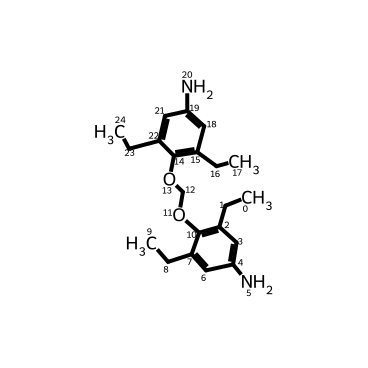 CCc1cc(N)cc(CC)c1OCOc1c(CC)cc(N)cc1CC